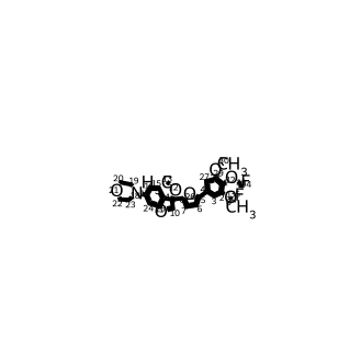 COc1cc(-c2ccc(C(C=O)(OC)c3ccc(N4CCOCC4)cc3)o2)cc(OC)c1OC(F)F